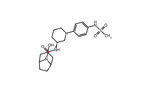 CS(=O)(=O)Nc1ccc(N2CCC[C@H](NC(=O)N3C4CCC3CC(O)C4)C2)cc1